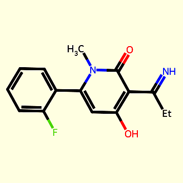 CCC(=N)c1c(O)cc(-c2ccccc2F)n(C)c1=O